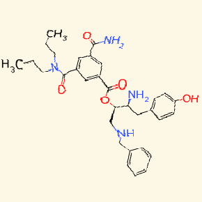 CCCN(CCC)C(=O)c1cc(C(N)=O)cc(C(=O)O[C@H](CNCc2ccccc2)[C@@H](N)Cc2ccc(O)cc2)c1